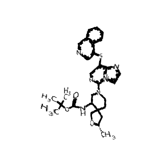 C[C@H]1CC2(CCN(c3ncc(Sc4cncc5ccccc45)c4nccn34)CC2NC(=O)OC(C)(C)C)CO1